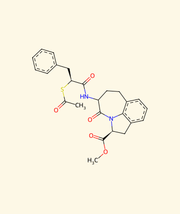 COC(=O)[C@@H]1Cc2cccc3c2N1C(=O)C(NC(=O)[C@H](Cc1ccccc1)SC(C)=O)CC3